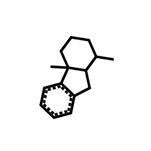 CC1CCCC2(C)c3ccccc3CC12